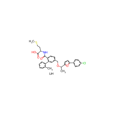 CSCCC(NC(=O)c1ccc(COC(C)c2ccc(-c3ccc(Cl)cc3)o2)cc1-c1ccccc1C)C(=O)O.[LiH]